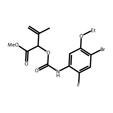 C=C(C)C(OC(=O)Nc1cc(OCC)c(Br)cc1F)C(=O)OC